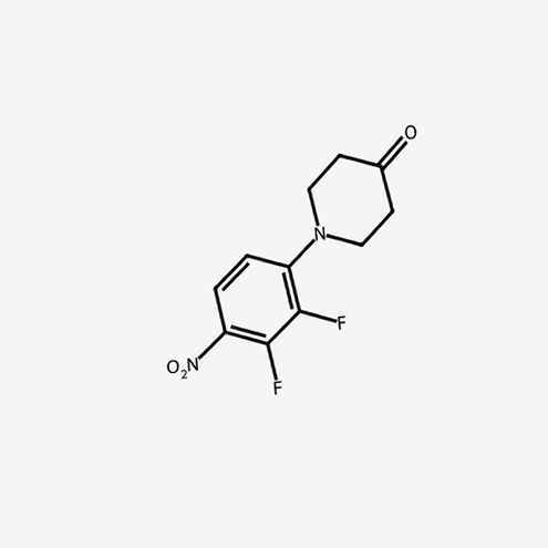 O=C1CCN(c2ccc([N+](=O)[O-])c(F)c2F)CC1